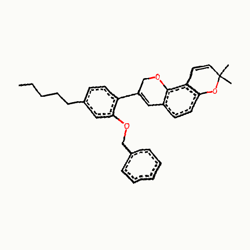 CCCCCc1ccc(C2=Cc3ccc4c(c3OC2)C=CC(C)(C)O4)c(OCc2ccccc2)c1